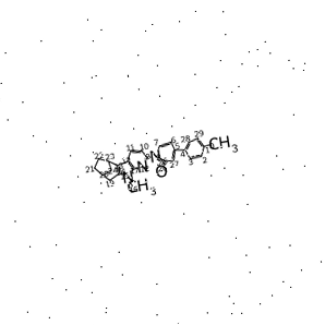 Cc1ccc(-c2ccn(-c3ccc4c5c(n(C)c4n3)CC3CCC5C3)c(=O)c2)cc1